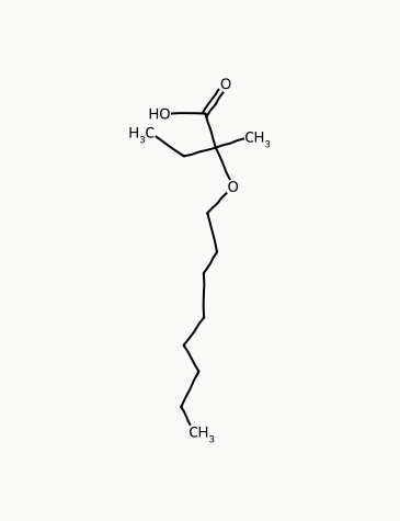 CCCCCCCCOC(C)(CC)C(=O)O